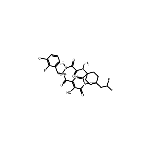 CN(C)C(=O)C(=O)N(C)C12CCC(CC(F)F)(CC1)Cn1c2nc(C(=O)NCc2cccc(Cl)c2F)c(O)c1=O